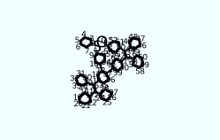 [O-][S+](c1ccccc1)c1ccc(-c2cc(C(=C(c3ccccc3)c3ccccc3)c3ccccc3)ccc2-c2ccc(C(=C(c3ccccc3)c3ccccc3)c3ccccc3)cc2)cc1